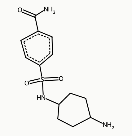 NC(=O)c1ccc(S(=O)(=O)NC2CCC(N)CC2)cc1